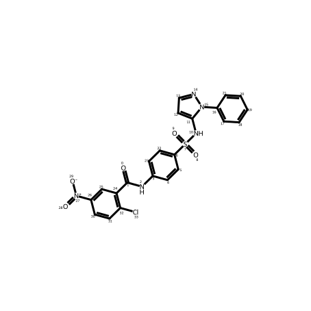 O=C(Nc1ccc(S(=O)(=O)Nc2ccnn2-c2ccccc2)cc1)c1cc([N+](=O)[O-])ccc1Cl